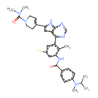 Cc1c(NC(=O)c2ccc(N(C)C(C)C)cc2)cc(F)cc1-c1ncnc2[nH]c(C3=CCN(C(=O)N(C)C)CC3)cc12